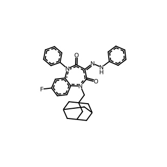 O=c1c(=NNc2ccccc2)c(=O)n(-c2ccccc2)c2cc(F)ccc2n1CC12CC3CC(CC(C3)C1)C2